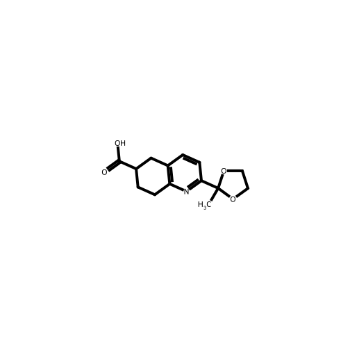 CC1(c2ccc3c(n2)CCC(C(=O)O)C3)OCCO1